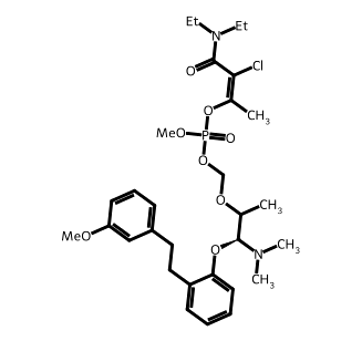 CCN(CC)C(=O)/C(Cl)=C(/C)OP(=O)(OC)OCOC(C)[C@H](Oc1ccccc1CCc1cccc(OC)c1)N(C)C